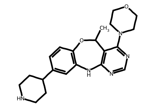 CC1Oc2ccc(C3CCNCC3)cc2Nc2ncnc(N3CCOCC3)c21